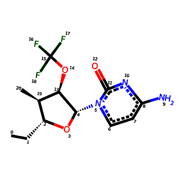 CC[C@H]1O[C@@H](n2ccc(N)nc2=O)[C@H](OC(F)(F)F)[C@@H]1C